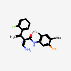 C=C(C1=CCCC=C1F)/C(=C/N)C(=O)Nc1cc(P)c(C(C)(C)C)cc1C(C)(C)C